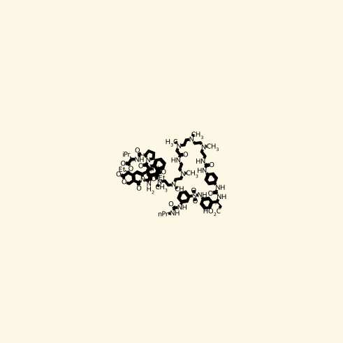 CCCNC(=O)Nc1cccc(S(=O)(=O)Nc2cccc([C@H](CC(=O)O)NC(=O)Nc3ccc(NC(=O)NCCN(C)CCN(C)CCN(C)CC(=O)NCCN(C)CCN(C)CCN(C)CC(=O)N[C@@H](CC(N)=O)C(=O)N4CCC[C@H]4C(=O)N[C@H](C(=O)O[C@]4(CC)C(=O)OCc5c4cc4n(c5=O)Cc5c-4nc4ccccc4c5CC)C(C)C)cc3)c2)c1